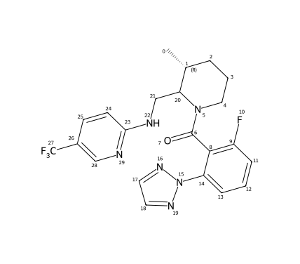 C[C@@H]1CCCN(C(=O)c2c(F)cccc2-n2nccn2)C1CNc1ccc(C(F)(F)F)cn1